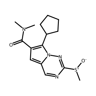 CN(C)C(=O)c1cc2cnc([S+](C)[O-])nn2c1C1CCCC1